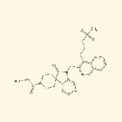 COC(=O)N1CCC2(CC1)C(=O)N(Cc1ncc3ccccc3c1CCCS(C)(=O)=O)c1cnccc12